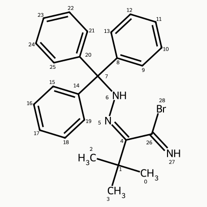 CC(C)(C)/C(=N/NC(c1ccccc1)(c1ccccc1)c1ccccc1)C(=N)Br